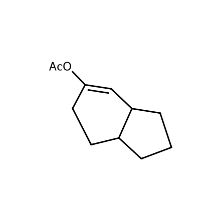 CC(=O)OC1=CC2CCCC2CC1